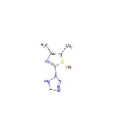 Br.Cc1nc(N2N=NCN2)sc1C